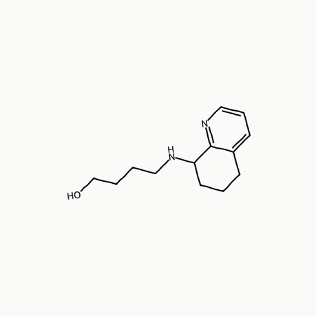 OCCCCNC1CCCc2cccnc21